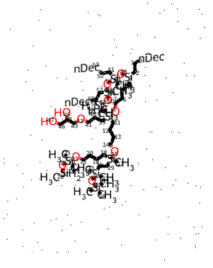 CCCCCCCCCCCC[SiH](CCCCO[Si](C)(CCCCO[Si](C)(CCCCO[Si](C)(C)O[SiH2]C)CC[Si](C)(C)O[Si](C)(C)C)CCCOCC(O)CO)O[Si](C)(CCCCCCCCCCCC)O[Si](C)(CCCCCCCCCCCC)O[SiH2]C